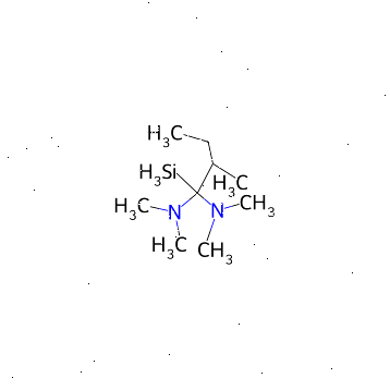 CCC(C)C([SiH3])(N(C)C)N(C)C